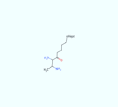 CCCCCCCCCCCC(=O)C(N)C(C)N